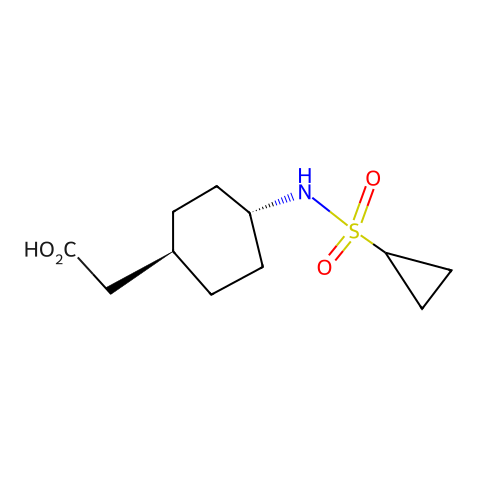 O=C(O)C[C@H]1CC[C@H](NS(=O)(=O)C2CC2)CC1